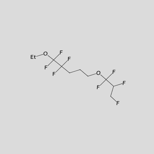 CCOC(F)(F)C(F)(F)CCCOC(F)(F)C(F)CF